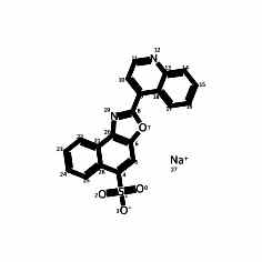 O=S(=O)([O-])c1cc2oc(-c3ccnc4ccccc34)nc2c2ccccc12.[Na+]